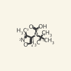 Cc1nocc1N(C(=O)O)C(C)(C)C